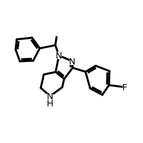 CC(c1ccccc1)n1nc(-c2ccc(F)cc2)c2c1CCNC2